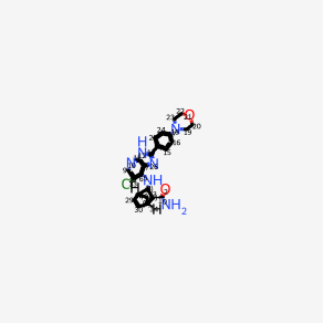 NC(=O)[C@@H]1[C@H](Nc2c(Cl)cnc3[nH]c(-c4ccc(N5CCOCC5)cc4)nc23)[C@H]2C=C[C@@H]1C2